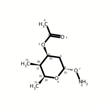 CC(=O)O[C@H]1C[C@H](ON)O[C@@H](C)[C@H]1C